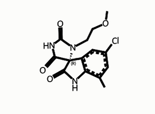 COCCN1C(=O)NC(=O)[C@@]12C(=O)Nc1c(C)cc(Cl)cc12